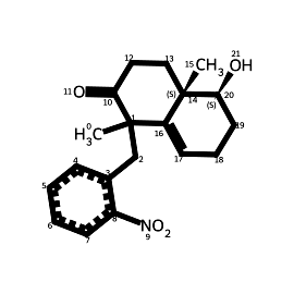 CC1(Cc2ccccc2[N+](=O)[O-])C(=O)CC[C@@]2(C)C1=CCC[C@@H]2O